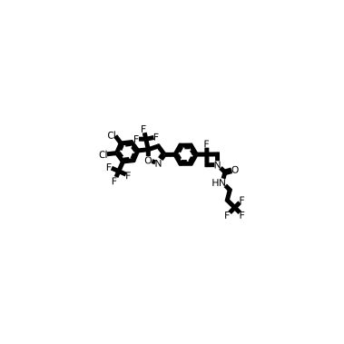 O=C(NCCC(F)(F)F)N1CC(F)(c2ccc(C3=NOC(c4cc(Cl)c(Cl)c(C(F)(F)F)c4)(C(F)(F)F)C3)cc2)C1